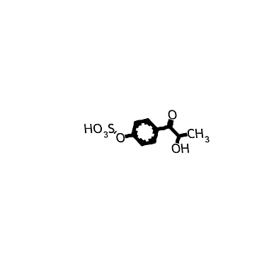 CC(O)C(=O)c1ccc(OS(=O)(=O)O)cc1